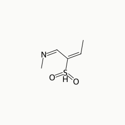 C/C=C(\C=N/C)[SH](=O)=O